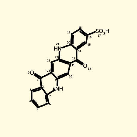 O=c1c2ccccc2[nH]c2cc3c(=O)c4cc(S(=O)(=O)O)ccc4[nH]c3cc12